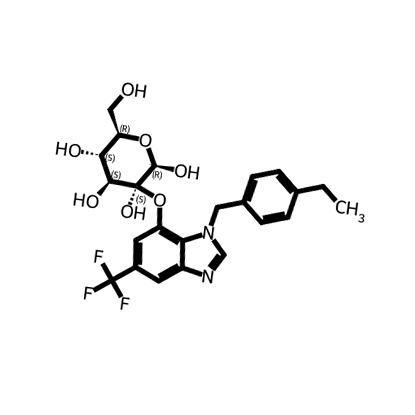 CCc1ccc(Cn2cnc3cc(C(F)(F)F)cc(O[C@]4(O)[C@H](O)O[C@H](CO)[C@@H](O)[C@@H]4O)c32)cc1